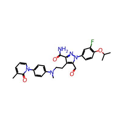 Cc1cccn(-c2ccc(N(C)CCc3c(C(N)=O)nn(-c4ccc(OC(C)C)c(F)c4)c3C=O)cc2)c1=O